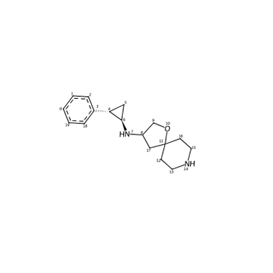 c1ccc([C@@H]2C[C@H]2NC2COC3(CCNCC3)C2)cc1